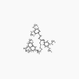 CCCCCC(C=Nc1ccc(CC)c(CC)c1)=Nc1ccc(CC)c(CC)c1.Cc1cc(O)c2c(O)cc(C)cc2c1.[Ni]